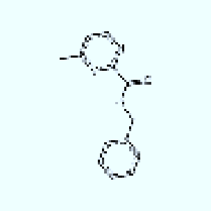 Cc1ccnc(C(=O)OCc2ccccc2)n1